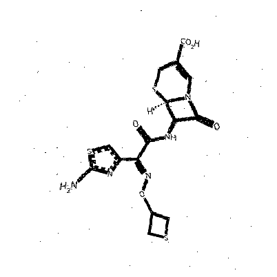 Nc1nc(C(=NOC2CSC2)C(=O)NC2C(=O)N3C=C(C(=O)O)CS[C@H]23)cs1